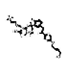 CN1C(N(COCC[Si](C)(C)C)C(=O)O)=NC(C)(c2cc(C=C(F)c3cnc(OCC#CCO)cn3)ccc2F)CS1(=O)=O